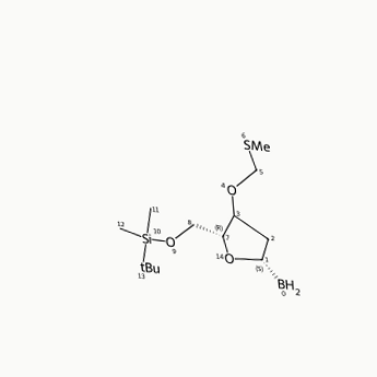 B[C@H]1CC(OCSC)[C@@H](CO[Si](C)(C)C(C)(C)C)O1